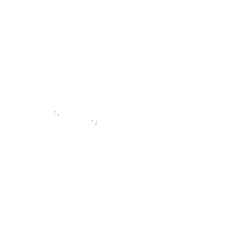 C[C@@H]1C(=O)N(C)C=CN1C(=O)OCc1ccccc1